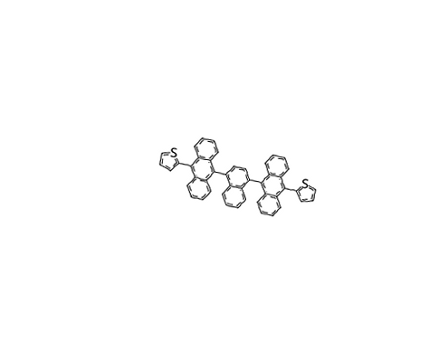 c1csc(-c2c3ccccc3c(-c3ccc(-c4c5ccccc5c(-c5cccs5)c5ccccc45)c4ccccc34)c3ccccc23)c1